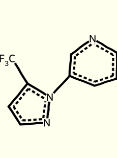 FC(F)(F)c1ccnn1-c1cccnc1